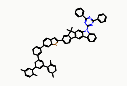 CC1=CC(C2C=C(C3=CC(C)CC=C3C)C=C(C3=CC(C4=CC5SC(c6ccc7c(c6)C(C)(C)c6cc8c(cc6-7)c6ccccc6n8-c6nc(-c7ccccc7)nc(-c7ccccc7)n6)=CC5C=C4)=CCC3)C2)C(C)C=C1